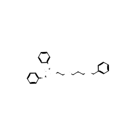 O=P(OCCOCCCOCc1ccccc1)(Oc1ccccc1)Oc1ccccc1